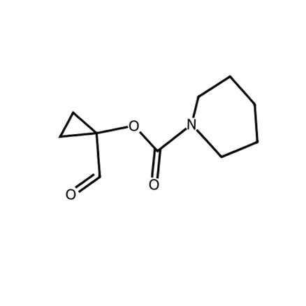 O=CC1(OC(=O)N2CCCCC2)CC1